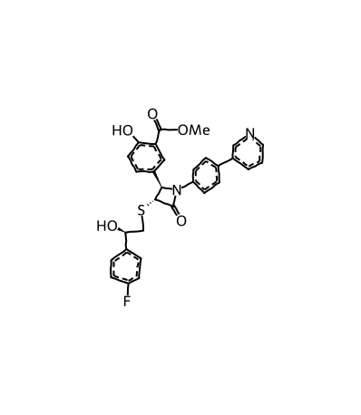 COC(=O)c1cc([C@@H]2[C@@H](SC[C@H](O)c3ccc(F)cc3)C(=O)N2c2ccc(-c3cccnc3)cc2)ccc1O